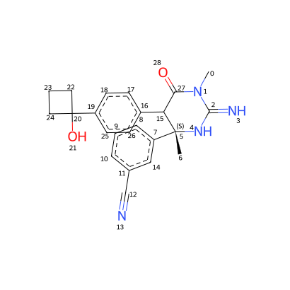 CN1C(=N)N[C@](C)(c2cccc(C#N)c2)C(c2ccc(C3(O)CCC3)cc2)C1=O